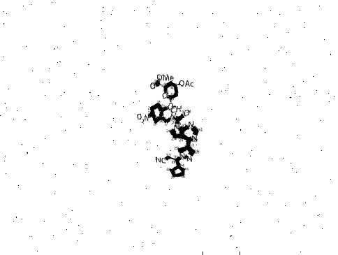 COC(=O)[C@@H]1C[C@H](OC(C)=O)C[C@H](Oc2ccc([N+](=O)[O-])cc2CN(C)C(=O)n2ccc3c(-c4cnn([C@H](CC#N)C5CCCC5)c4)ncnc32)O1